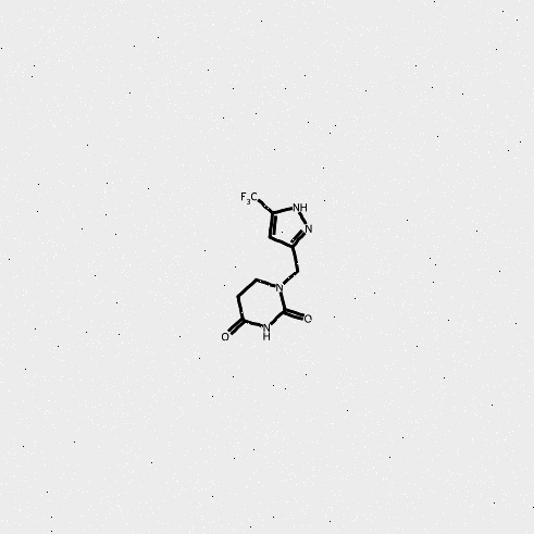 O=C1CCN(Cc2cc(C(F)(F)F)[nH]n2)C(=O)N1